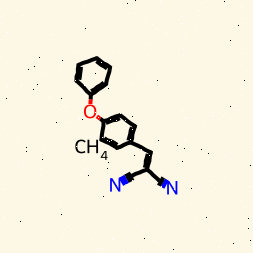 C.N#CC(C#N)=Cc1ccc(Oc2ccccc2)cc1